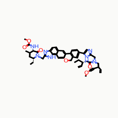 C=CC(C#COC)CN(Cc1ncc(-c2ccc3c(c2)COc2cc4c(ccc5nc(CN6C(=O)[C@@H](NC(=O)OC)C(C)C[C@H]6CC)[nH]c54)cc2-3)[nH]1)C(=O)C[C@H](C=C)CC